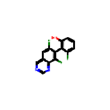 Oc1cccc(F)c1-c1c(Cl)cc2cncnc2c1F